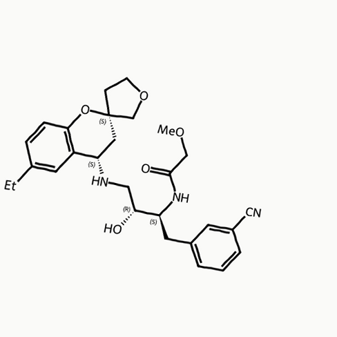 CCc1ccc2c(c1)[C@@H](NC[C@@H](O)[C@H](Cc1cccc(C#N)c1)NC(=O)COC)C[C@@]1(CCOC1)O2